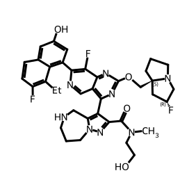 CCc1c(F)ccc2cc(O)cc(-c3ncc4c(-c5c(C(=O)N(C)CCO)nn6c5CNCCC6)nc(OC[C@@]56CCCN5C[C@H](F)C6)nc4c3F)c12